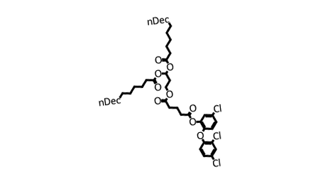 CCCCCCCCCCCCCCCC(=O)OC(CCOC(=O)CCCC(=O)Oc1cc(Cl)ccc1Oc1ccc(Cl)cc1Cl)OC(=O)CCCCCCCCCCCCCCC